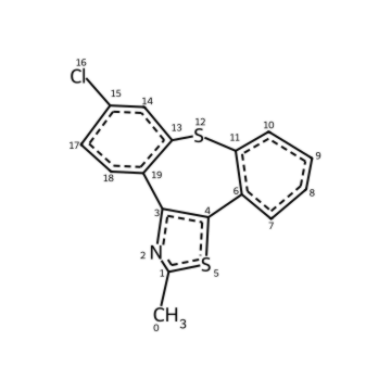 Cc1nc2c(s1)-c1ccccc1Sc1cc(Cl)ccc1-2